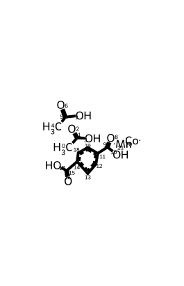 CC(=O)O.CC(=O)O.O=C(O)c1ccc(C(=O)O)cc1.[Co].[Mn]